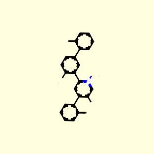 Cc1ccccc1-c1ccc(C)c(-c2cc(-c3ccccc3C)c(C)c[n+]2C)c1